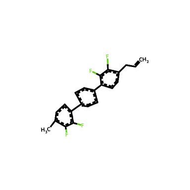 C=CCc1ccc(-c2ccc(-c3ccc(C)c(F)c3F)cc2)c(F)c1F